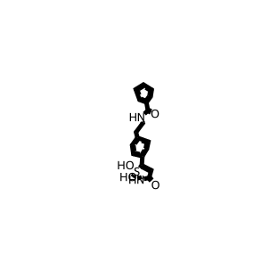 O=C1C=C(c2ccc(CCNC(=O)c3ccccc3)cc2)S(O)(O)N1